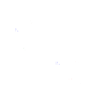 CC(C)(C)OC(=O)NCC[CH]c1scnc1Cl